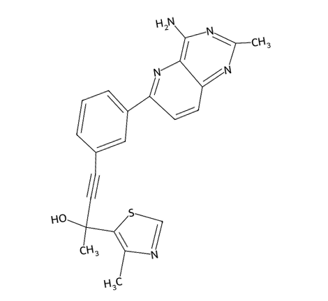 Cc1nc(N)c2nc(-c3cccc(C#CC(C)(O)c4scnc4C)c3)ccc2n1